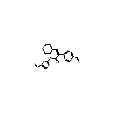 O=Cc1ccc(C(=CC2CCOCC2)C(=O)Nc2ncc(C=O)s2)cc1